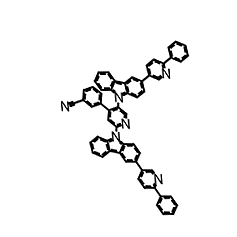 N#Cc1cccc(-c2cc(-n3c4ccccc4c4cc(-c5ccc(-c6ccccc6)nc5)ccc43)ncc2-n2c3ccccc3c3cc(-c4ccc(-c5ccccc5)nc4)ccc32)c1